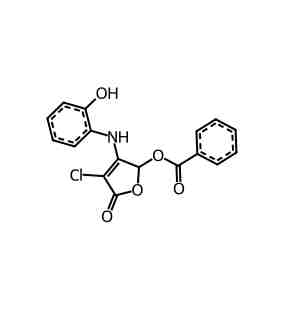 O=C1OC(OC(=O)c2ccccc2)C(Nc2ccccc2O)=C1Cl